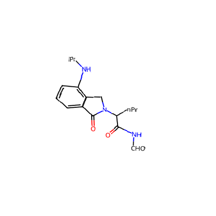 CCCC(C(=O)NC=O)N1Cc2c(NC(C)C)cccc2C1=O